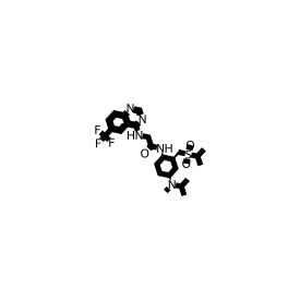 CC(C)N(C)[C@@H]1CC[C@H](NC(=O)CNc2ncnc3ccc(C(F)(F)F)cc23)[C@@H](CS(=O)(=O)C(C)C)C1